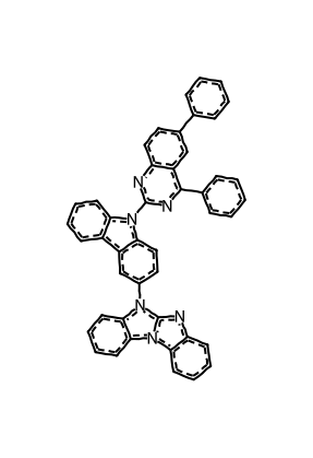 c1ccc(-c2ccc3nc(-n4c5ccccc5c5cc(-n6c7ccccc7n7c8ccccc8nc67)ccc54)nc(-c4ccccc4)c3c2)cc1